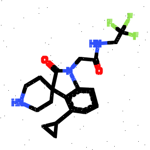 O=C(CN1C(=O)C2(CCNCC2)c2c(C3CC3)cccc21)NCC(F)(F)F